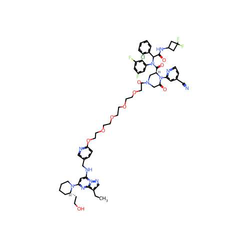 CCc1cnn2c(NCc3ccc(OCCOCCOCCOCCOCC(=O)N4CC(=O)N(c5cc(C#N)ccn5)[C@H](C(=O)N(c5cc(F)cc(F)c5)C(C(=O)NC5CC(F)(F)C5)c5ccccc5Cl)C4)nc3)cc(N3CCCC[C@H]3CCO)nc12